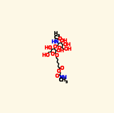 CNC(=O)COC(=O)CCCCCO[C@@H]1OC(CO)[C@H](O)[C@H](O[C@@H]2OC(CO)[C@@H](O)[C@H](O)C2NC(C)=O)C1O